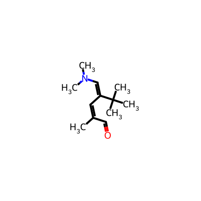 C/C(C=O)=C/C(=C\N(C)C)C(C)(C)C